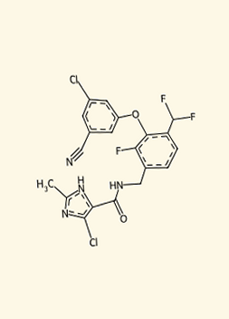 Cc1nc(Cl)c(C(=O)NCc2ccc(C(F)F)c(Oc3cc(Cl)cc(C#N)c3)c2F)[nH]1